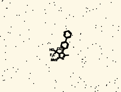 CSc1nc(C)n(-c2ccc(-c3ccccc3)cc2)c1C(O)(C(=O)O)C(F)(F)F